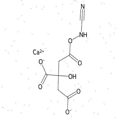 N#CNOC(=O)CC(O)(CC(=O)[O-])C(=O)[O-].[Ca+2]